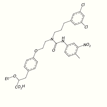 CCOC(Cc1ccc(OCCN(CCCc2cc(Cl)cc(Cl)c2)C(=O)Nc2ccc(C)c([N+](=O)[O-])c2)cc1)C(=O)O